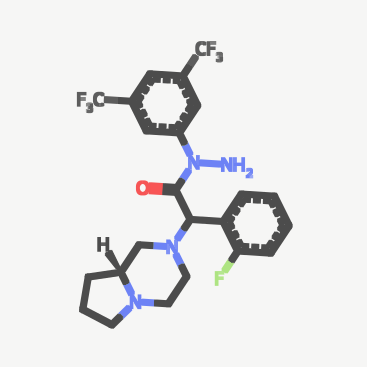 NN(C(=O)C(c1ccccc1F)N1CCN2CCC[C@@H]2C1)c1cc(C(F)(F)F)cc(C(F)(F)F)c1